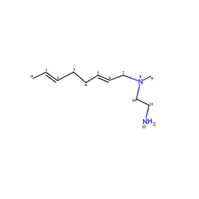 CC=CCCC=CCN(C)CCN